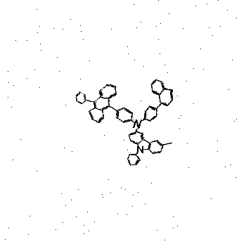 Cc1ccc2c(c1)c1cc(N(c3ccc(-c4cccc5ccccc45)cc3)c3ccc(-c4c5ccccc5c(-c5ccccc5)c5ccccc45)cc3)ccc1n2-c1ccccc1